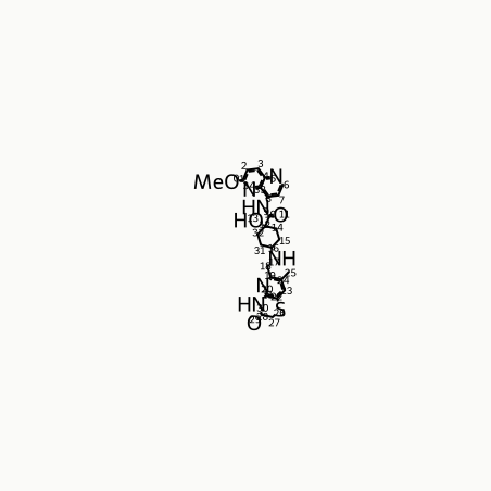 COc1ccc2nccc(NC(=O)[C@]3(O)CC[C@@H](NCc4nc5c(cc4C)SCC(=O)N5)CC3)c2n1